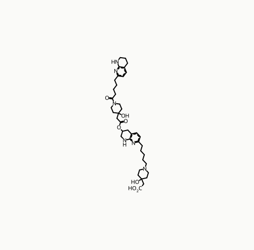 O=C(O)CC1(O)CCN(CCCCCc2ccc3c(n2)NCC(OC(=O)CC2(O)CCN(C(=O)CCCCc4ccc5c(n4)NCCC5)CC2)C3)CC1